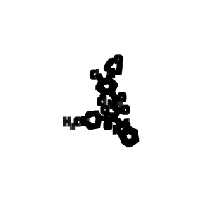 CN1CCC(S(=O)(=O)N(C(=O)NC(=O)c2cc(N3CCOCC3)c(Cl)cc2Cl)c2nc3ccccc3s2)CC1